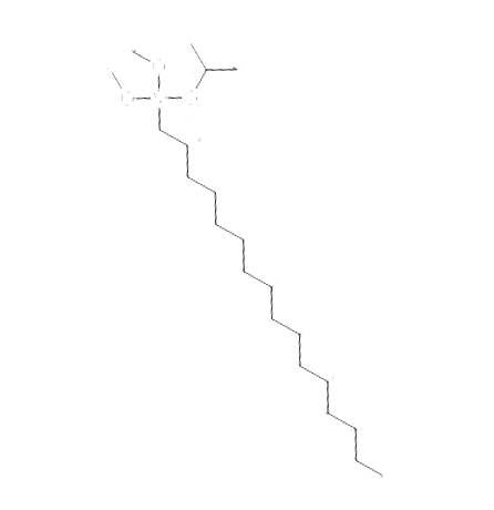 CCCCCCCCCCCCCCCC[Si](OC)(OC)OC(C)C